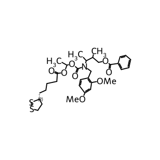 COc1ccc(CN(C(=O)OC(C)OC(=O)CCCC[C@@H]2CCSS2)C(C)C(C)COC(=O)c2ccccc2)c(OC)c1